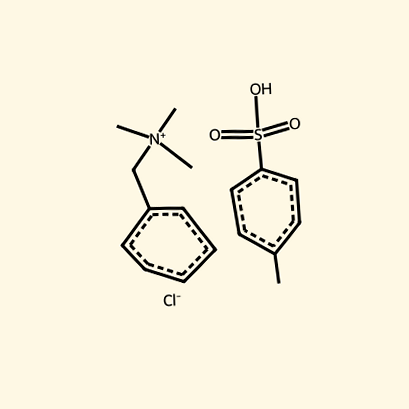 C[N+](C)(C)Cc1ccccc1.Cc1ccc(S(=O)(=O)O)cc1.[Cl-]